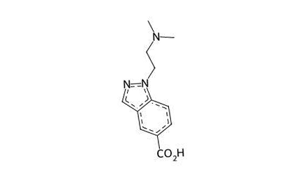 CN(C)CCn1ncc2cc(C(=O)O)ccc21